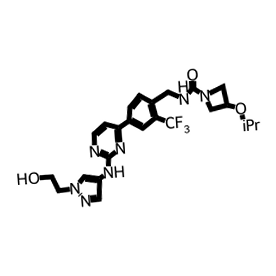 CC(C)OC1CN(C(=O)NCc2ccc(-c3ccnc(Nc4cnn(CCO)c4)n3)cc2C(F)(F)F)C1